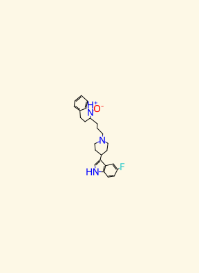 [O-][NH+]1c2ccccc2CCC1CCCN1CCC(c2c[nH]c3ccc(F)cc23)CC1